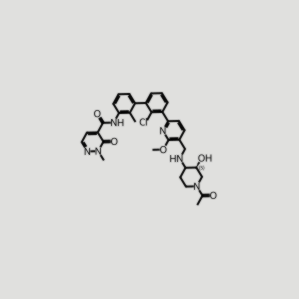 COc1nc(-c2cccc(-c3cccc(NC(=O)c4ccnn(C)c4=O)c3C)c2Cl)ccc1CNC1CCN(C(C)=O)C[C@@H]1O